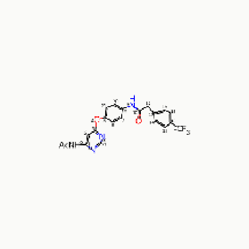 CC(=O)Nc1cc(Oc2ccc(NC(=O)Cc3ccc(C(F)(F)F)cc3)cc2)ncn1